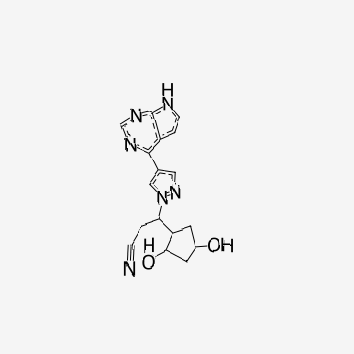 N#CCC(C1CC(O)CC1O)n1cc(-c2ncnc3[nH]ccc23)cn1